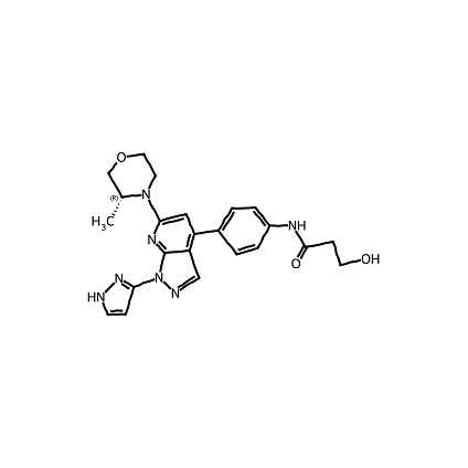 C[C@@H]1COCCN1c1cc(-c2ccc(NC(=O)CCO)cc2)c2cnn(-c3cc[nH]n3)c2n1